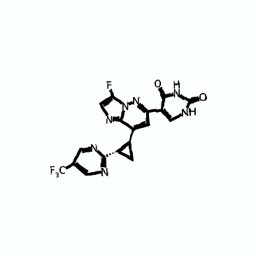 O=c1[nH]cc(-c2cc([C@H]3C[C@@H]3c3ncc(C(F)(F)F)cn3)c3ncc(F)n3n2)c(=O)[nH]1